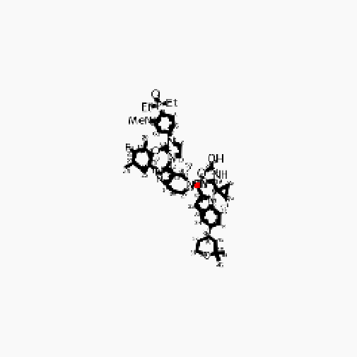 CCP(=O)(CC)c1ccc(-n2ccn(-c3c4c(nn3-c3cc(C)c(F)c(C)c3)CCN(C(=O)c3cc5cc([C@@H]6CCOC(C)(C)C6)ccc5n3[C@@]3(C5=NOC(O)N5)C[C@@H]3C)[C@H]4C)c2=O)cc1NC